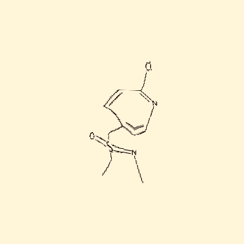 CN=S(C)(=O)c1ccc(Cl)nc1